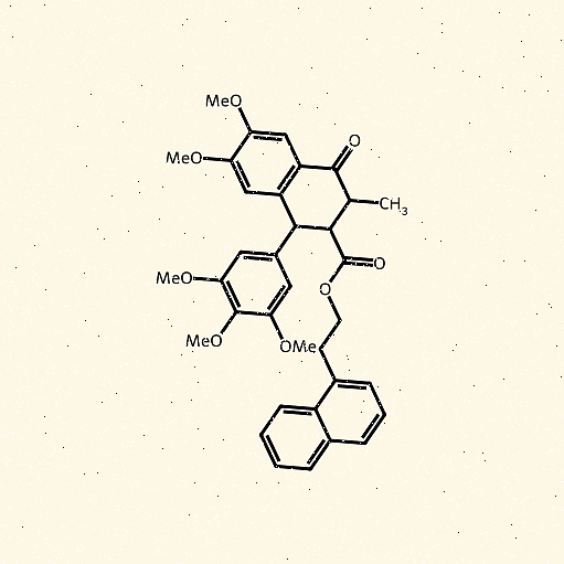 COc1cc2c(cc1OC)C(c1cc(OC)c(OC)c(OC)c1)C(C(=O)OCCc1cccc3ccccc13)C(C)C2=O